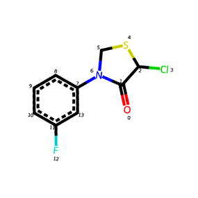 O=C1C(Cl)SCN1c1cccc(F)c1